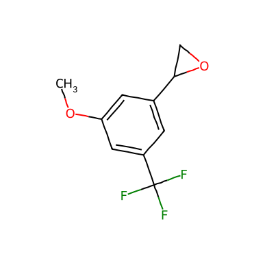 COc1cc(C2CO2)cc(C(F)(F)F)c1